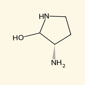 N[C@H]1CCNC1O